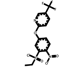 CCP(=O)(Cl)c1cc(Oc2ccc(C(F)(F)F)cn2)ccc1[N+](=O)[O-]